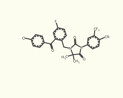 CC1(C)C(=O)N(c2ccc(C#N)c(C(F)(F)F)c2)C(=O)N1Cc1ccc(F)cc1C(=O)c1ccc(Cl)cc1